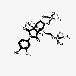 CC(C)(C)[Si](C)(C)OCC[C@]12O[C@](C)(C[C@@H]1O[Si](C)(C)C(C)(C)C)[C@@]1(C)C(=O)N(c3ccc(C#N)c(C(F)(F)F)c3)C(=O)[C@@H]21